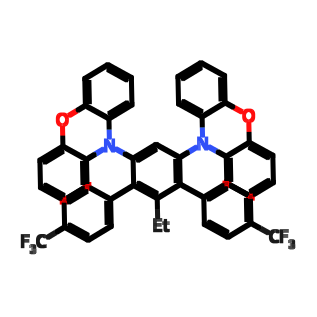 CCc1c(-c2ccc(C(F)(F)F)cc2)c(N2c3ccccc3Oc3ccccc32)cc(N2c3ccccc3Oc3ccccc32)c1-c1ccc(C(F)(F)F)cc1